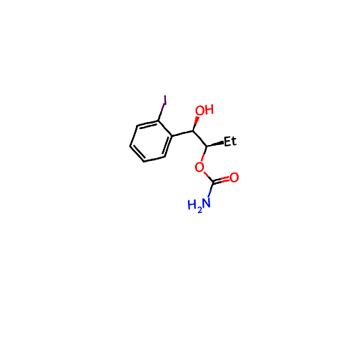 CC[C@@H](OC(N)=O)[C@H](O)c1ccccc1I